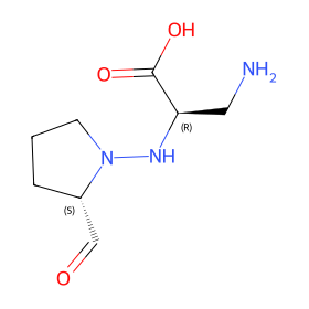 NC[C@@H](NN1CCC[C@H]1C=O)C(=O)O